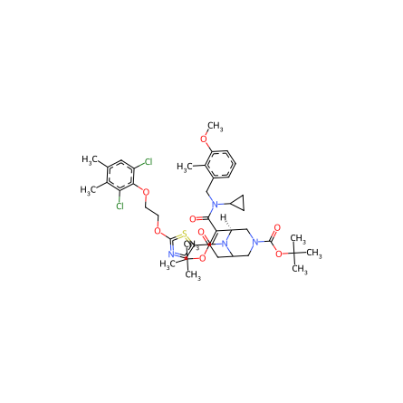 COc1cccc(CN(C(=O)C2=C(c3cnc(OCCOc4c(Cl)cc(C)c(C)c4Cl)s3)CC3CN(C(=O)OC(C)(C)C)C[C@H]2N3C(=O)OC(C)(C)C)C2CC2)c1C